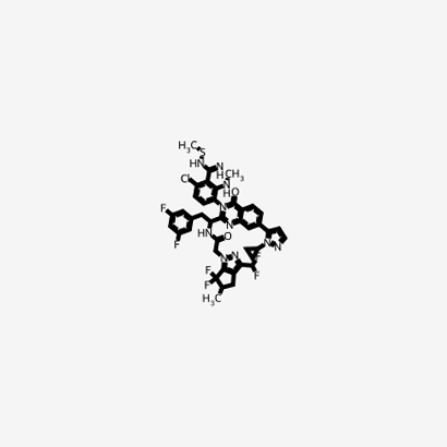 CNc1c(-n2c(C(Cc3cc(F)cc(F)c3)NC(=O)Cn3nc(C(F)F)c4c3C(F)(F)C(C)C4)nc3cc(-c4ccnn4C4CC4)ccc3c2=O)ccc(Cl)c1C(=N)NSC